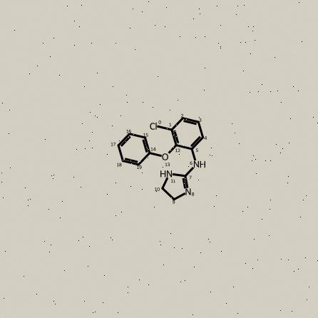 Clc1cccc(NC2=NCCN2)c1Oc1ccccc1